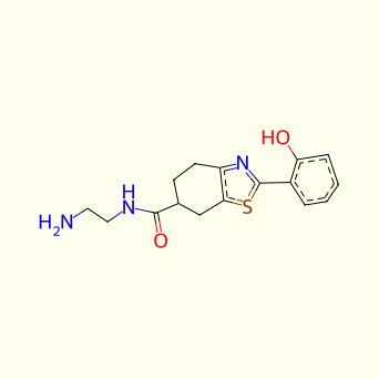 NCCNC(=O)C1CCc2nc(-c3ccccc3O)sc2C1